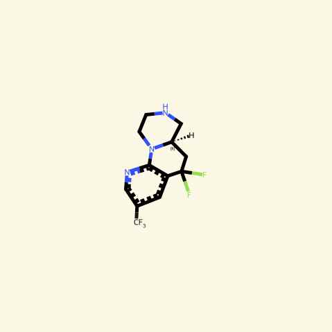 FC(F)(F)c1cnc2c(c1)C(F)(F)C[C@@H]1CNCCN21